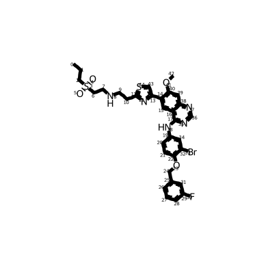 CCCS(=O)(=O)CCNCCc1nc(-c2cc3c(Nc4ccc(OCc5cccc(F)c5)c(Br)c4)ncnc3cc2OC)cs1